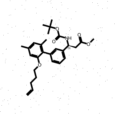 C=CCCCOc1cc(C)cc(C)c1-c1cccc([C@H](CC(=O)OC)NC(=O)OC(C)(C)C)c1